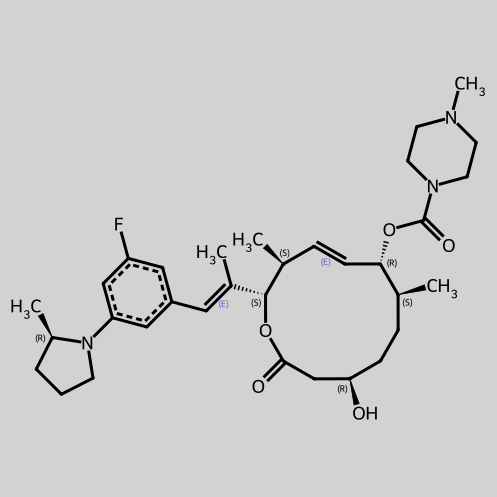 C/C(=C\c1cc(F)cc(N2CCC[C@H]2C)c1)[C@H]1OC(=O)C[C@H](O)CC[C@H](C)[C@@H](OC(=O)N2CCN(C)CC2)/C=C/[C@@H]1C